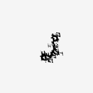 CCc1cccc(CC)c1NC(=O)c1cc2c(NC(=O)Cc3ccc(Cl)cc3)n[nH]c2s1